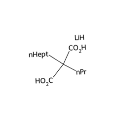 CCCCCCCC(CCC)(C(=O)O)C(=O)O.[LiH]